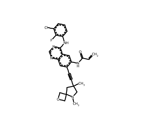 C=CC(=O)Nc1cc2c(Nc3cccc(Cl)c3F)ncnc2cc1C#CC1(C)CN(C)C2(COC2)C1